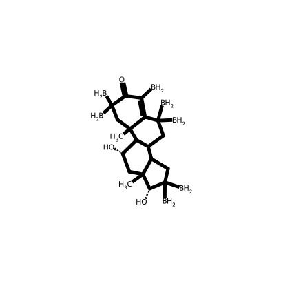 BC1=C2C(B)(B)CC3C([C@@H](O)CC4(C)C3CC(B)(B)[C@@H]4O)C2(C)CC(B)(B)C1=O